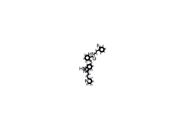 O=C(NCCc1ccccc1F)c1ccccc1Sc1ccc2c(/C=C/c3ccccn3)n[nH]c2c1